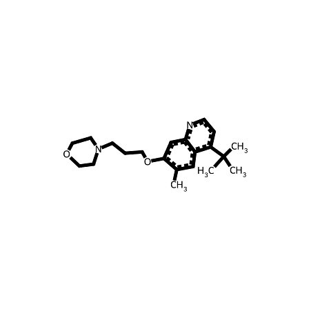 Cc1cc2c(C(C)(C)C)ccnc2cc1OCCCN1CCOCC1